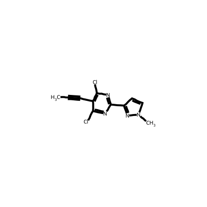 CC#Cc1c(Cl)nc(-c2ccn(C)n2)nc1Cl